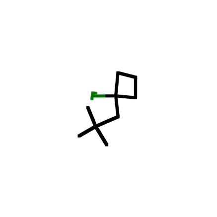 CC(C)(C)CC1(F)CCC1